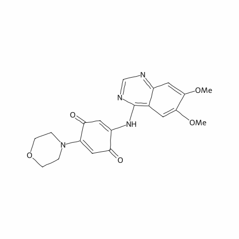 COc1cc2ncnc(NC3=CC(=O)C(N4CCOCC4)=CC3=O)c2cc1OC